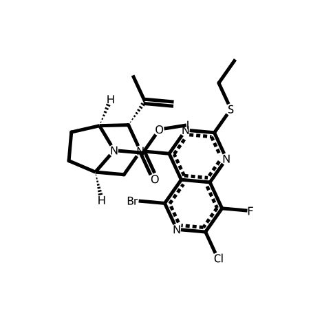 C=C(C)[C@H]1[C@@H]2CC[C@H](CN1c1nc(SCC)nc3c(F)c(Cl)nc(Br)c13)N2C(=O)OI